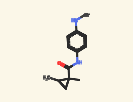 CC(C)Nc1ccc(NC(=O)C2(C)CC2C(F)(F)F)cc1